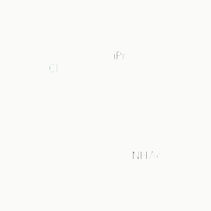 CC(=O)Nc1ccc(Cl)c(C(C)C)c1